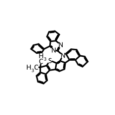 CC1(C)c2ccccc2-c2c1sc1c2ccc2c3c4ccccc4ccc3n(-c3nc(-c4ccccc4)c4ccccc4n3)c21